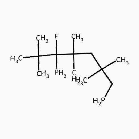 CC(C)(CP)CC(C)(C)C(F)(P)C(C)(C)C